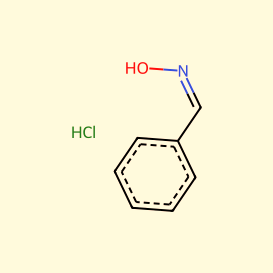 Cl.O/N=C\c1ccccc1